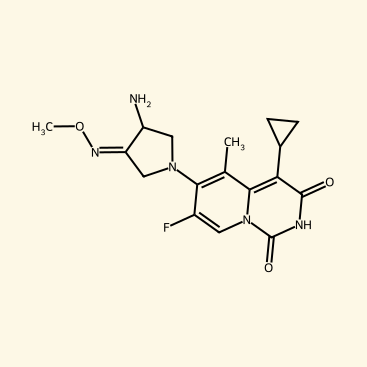 CON=C1CN(c2c(F)cn3c(=O)[nH]c(=O)c(C4CC4)c3c2C)CC1N